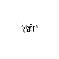 CN(C)CCCNC(=O)Nc1snc(OCc2c(CF)cccc2CF)c1C(N)=O